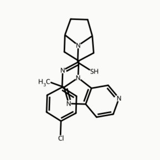 Cc1nc2ccncc2n1C1CC2CCC(C1)N2C(S)=Nc1ccc(Cl)cc1